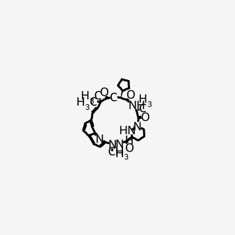 C[C@@H]1NC(=O)[C@H](C2CCCC2)CC(=O)C(C)(C)/C=C/c2ccc3ccc(nc3c2)N(C)NC(=O)[C@@H]2CCCN(N2)C1=O